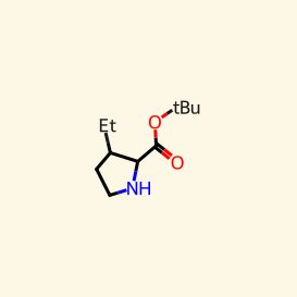 CCC1CCNC1C(=O)OC(C)(C)C